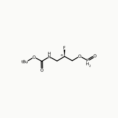 CC(C)(C)OC(=O)NC[C@@H](F)CO[PH2]=O